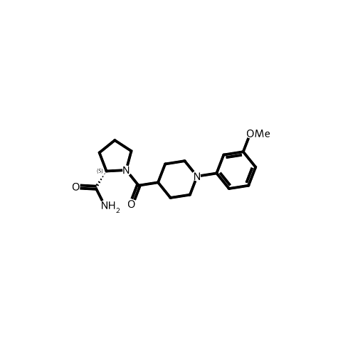 COc1cccc(N2CCC(C(=O)N3CCC[C@H]3C(N)=O)CC2)c1